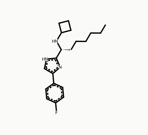 CCCCCC[C@@H](NC1CCC1)c1nc(-c2ccc(F)cc2)c[nH]1